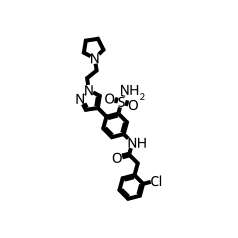 NS(=O)(=O)c1cc(NC(=O)Cc2ccccc2Cl)ccc1-c1cnn(CCN2CCCC2)c1